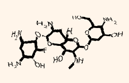 CNC1C(OC2CC(O)[C@H](N)C(CO)O2)O[C@H]2CC(N)[C@@H](O[C@@H]3C(N)CC(N)[C@@H](O)C3F)OC2C1O